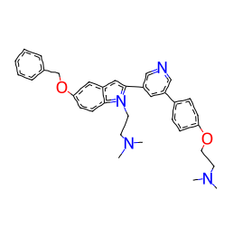 CN(C)CCOc1ccc(-c2cncc(-c3cc4cc(OCc5ccccc5)ccc4n3CCN(C)C)c2)cc1